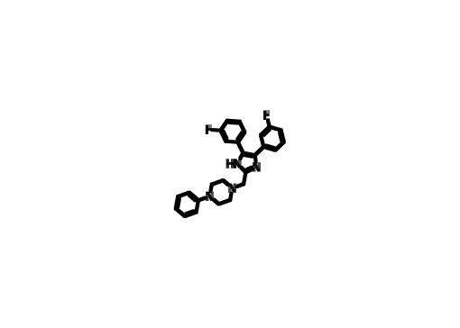 Fc1cccc(-c2nc(CN3CCN(c4ccccc4)CC3)[nH]c2-c2cccc(F)c2)c1